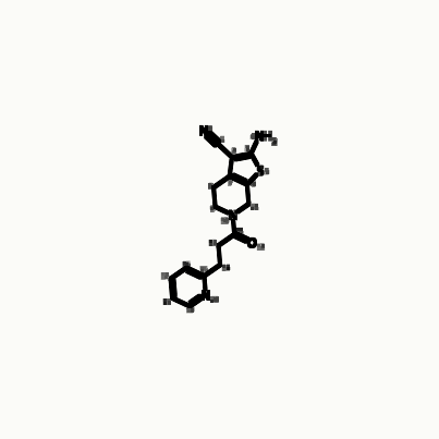 N#Cc1c(N)sc2c1CCN(C(=O)CCc1ccccn1)C2